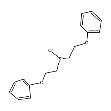 [O-][S+](CCOc1ccccc1)CCOc1ccccc1